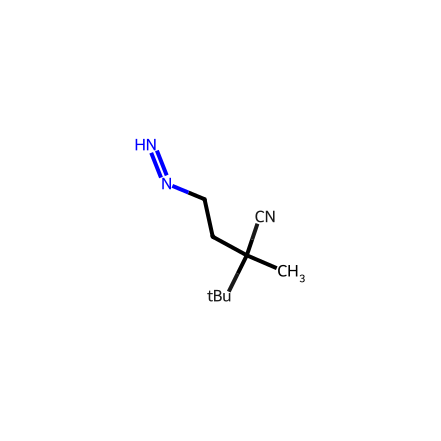 CC(C)(C)C(C)(C#N)CCN=N